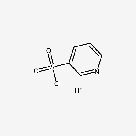 O=S(=O)(Cl)c1cccnc1.[H+]